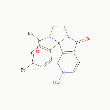 CCC(=O)N1CCN2C(=O)C3=C(CN(O)C=C3)C12c1ccc(CC)cc1